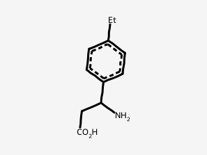 CCc1ccc(C(N)CC(=O)O)cc1